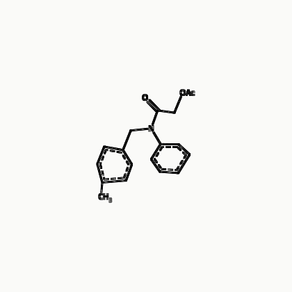 CC(=O)OCC(=O)N(Cc1ccc(C)cc1)c1ccccc1